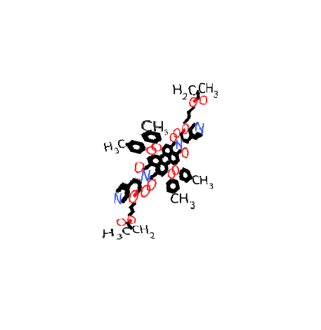 C=C(C)C(=O)OCCCCOC(=O)C(Cc1ccncc1)N1C(=O)c2cc(Oc3ccc(C)cc3)c3c4c(Oc5ccc(C)cc5)cc5c6c(cc(Oc7ccc(C)cc7)c(c7c(Oc8ccc(C)cc8)cc(c2c37)C1=O)c64)C(=O)N(C(Cc1ccncc1)C(=O)OCCCCOC(=O)C(=C)C)C5=O